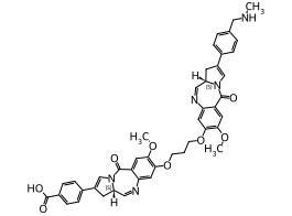 CNCc1ccc(C2=CN3C(=O)c4cc(OC)c(OCCCOc5cc6c(cc5OC)C(=O)N5C=C(c7ccc(C(=O)O)cc7)C[C@H]5C=N6)cc4N=C[C@@H]3C2)cc1